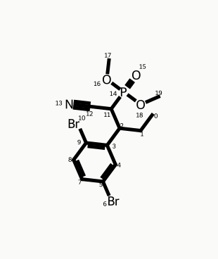 CCC(c1cc(Br)ccc1Br)C(C#N)P(=O)(OC)OC